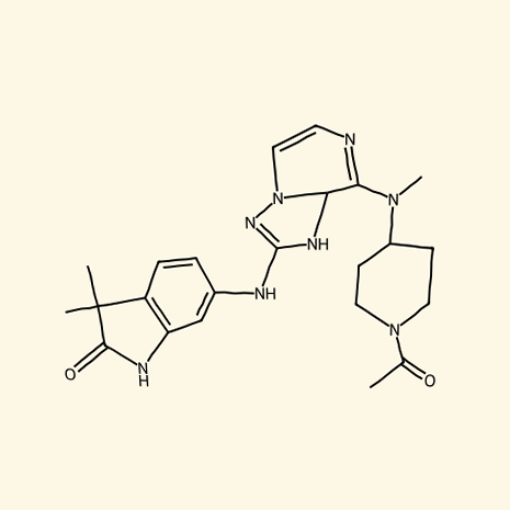 CC(=O)N1CCC(N(C)C2=NC=CN3N=C(Nc4ccc5c(c4)NC(=O)C5(C)C)NC23)CC1